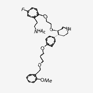 COc1ccccc1COCCCOc1ccc([C@H]2CCNC[C@@H]2OCCOc2ccc(F)cc2CCNC(C)=O)cc1